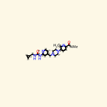 CNC(=O)c1ccc(N2CCN(Cc3ccnc(NC(=O)NCC4CC4)c3)CC2)c(C)n1